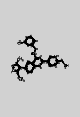 Cc1noc(C)c1-c1ccc2nc(-c3ccc(CO)nc3)nc(NCc3cccc(Cl)c3)c2c1